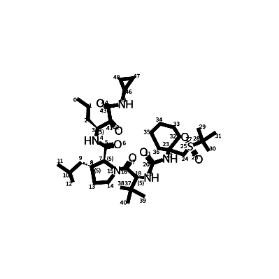 CCC[C@H](NC(=O)[C@@H]1[C@@H](CC(C)C)CCN1C(=O)[C@@H](NC(=O)NC1(CS(=O)(=O)C(C)(C)C)CCCCC1)C(C)(C)C)C(=O)C(=O)NC1CC1